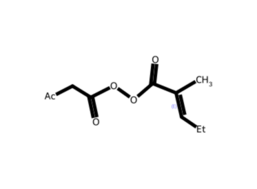 CC/C=C(\C)C(=O)OOC(=O)CC(C)=O